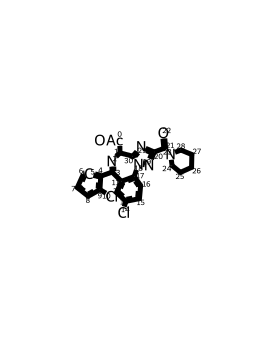 CC(=O)OC1N=C(c2ccccc2Cl)c2cc(Cl)ccc2-n2nc(C(=O)N3CCCCC3)nc21